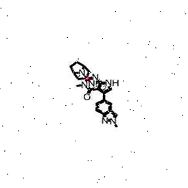 Cn1cc2cc(-c3c[nH]c4nc(N5C6CCC5CC(N)C6)n(C)c(=O)c34)ccc2n1